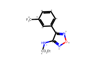 CCOC(=O)Nc1nonc1-c1cccc(C(F)(F)F)c1